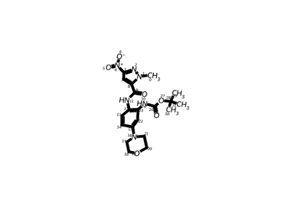 Cn1nc([N+](=O)[O-])cc1C(=O)Nc1ccc(N2CCOCC2)cc1NC(=O)OC(C)(C)C